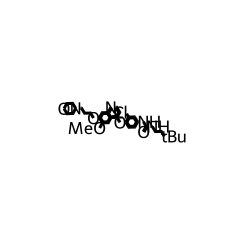 COc1cc2c(Oc3ccc(NC(=O)NCCC(C)(C)C)cc3Cl)ccnc2cc1OCCCN1CCOCC1